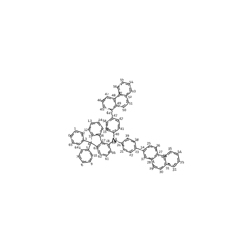 c1ccc(C2(c3ccccc3)c3ccccc3-c3c(N(c4ccc(-c5ccc6c(ccc7ccccc76)c5)cc4)c4ccc(-c5cccc6c5ccc5ccccc56)cc4)cccc32)cc1